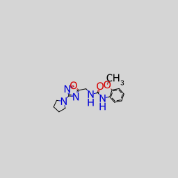 COc1ccccc1NC(=O)NCc1nc(N2CCCC2)no1